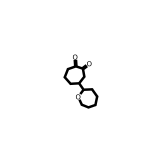 O=C1CCCC(C2CCCCCO2)CC1=O